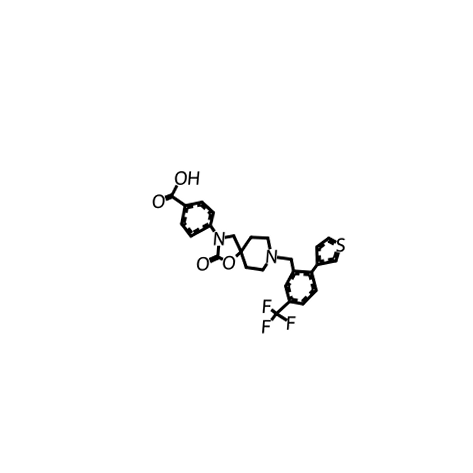 O=C(O)c1ccc(N2CC3(CCN(Cc4cc(C(F)(F)F)ccc4-c4ccsc4)CC3)OC2=O)cc1